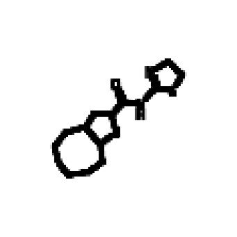 O=C(NC1=NCCS1)C1CC2CCCCCCC2S1